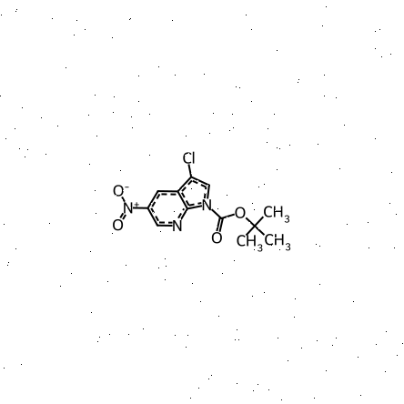 CC(C)(C)OC(=O)n1cc(Cl)c2cc([N+](=O)[O-])cnc21